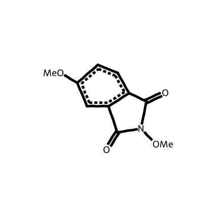 COc1ccc2c(c1)C(=O)N(OC)C2=O